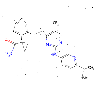 CNC(C)c1ccc(Nc2ncc(C(F)(F)F)c(CCc3ccccc3C3(C(N)=O)CC3)n2)cn1